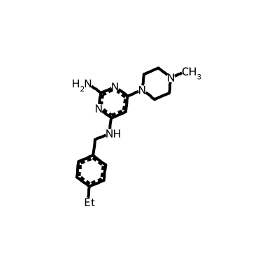 CCc1ccc(CNc2cc(N3CCN(C)CC3)nc(N)n2)cc1